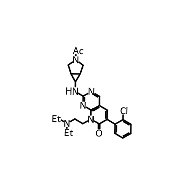 CCN(CC)CCn1c(=O)c(-c2ccccc2Cl)cc2cnc(NC3C4CN(C(C)=O)CC43)nc21